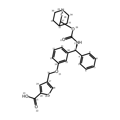 O=C(N[C@@H](c1ccccc1)c1cccc(OCc2csc(C(=O)O)c2)c1)OC1CN2CCC1CC2